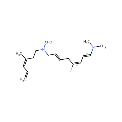 C=C/C=C(/C)CCN(C=O)C/C=C/C/C(F)=C\C=C\N(C)C